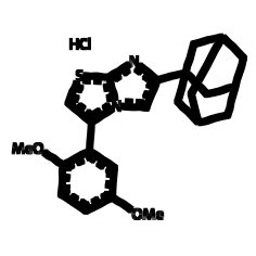 COc1ccc(OC)c(-c2csc3nc(C45CC6CC(CC(C6)C4)C5)cn23)c1.Cl